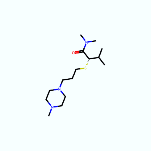 CC(C)[C@H](SCCCN1CCN(C)CC1)C(=O)N(C)C